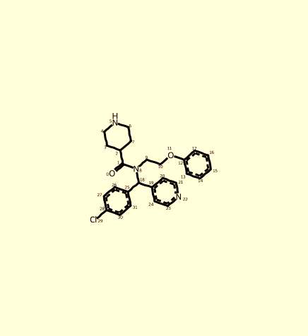 O=C(C1CCNCC1)N(CCOc1ccccc1)C(c1ccncc1)c1ccc(Cl)cc1